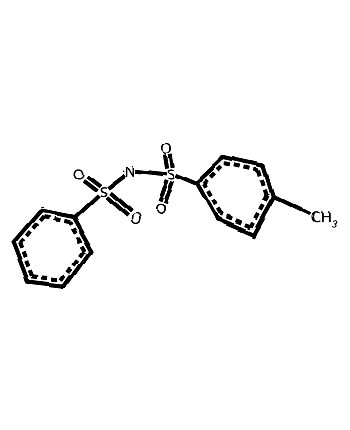 Cc1ccc(S(=O)(=O)[N]S(=O)(=O)c2[c]cccc2)cc1